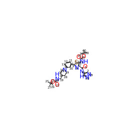 Cn1cc(NC(=O)c2nc(-c3cccc(N4CCC(CNC(=O)OC(C)(C)C)CC4)c3)sc2NC(=O)OC(C)(C)C)cn1